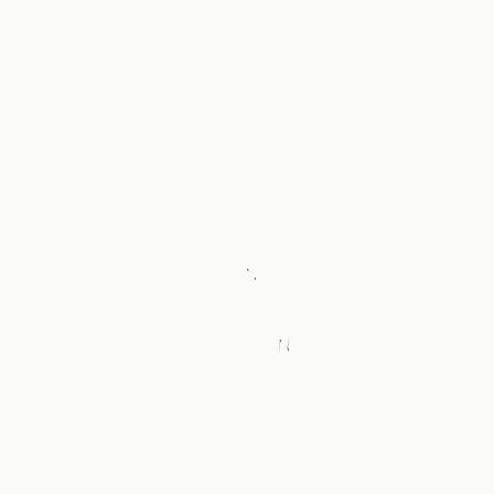 CC1=NCCN1C(C)c1ccccc1